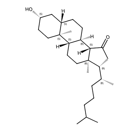 CC(C)CCC[C@@H](C)[C@H]1CC(=O)[C@H]2[C@@H]3CC[C@H]4C[C@@H](O)CC[C@]4(C)[C@H]3CC[C@]12C